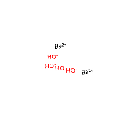 [Ba+2].[Ba+2].[OH-].[OH-].[OH-].[OH-]